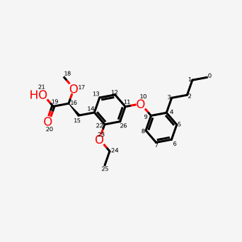 CCCCc1ccccc1Oc1ccc(C[C@H](OC)C(=O)O)c(OCC)c1